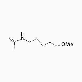 C=C(C)NCCCCCOC